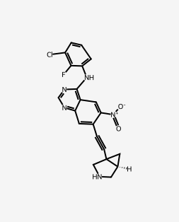 O=[N+]([O-])c1cc2c(Nc3cccc(Cl)c3F)ncnc2cc1C#CC12CNC[C@@H]1C2